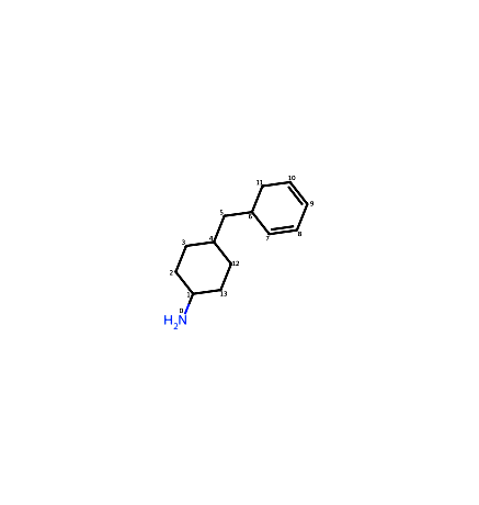 NC1CCC(CC2C=CC=CC2)CC1